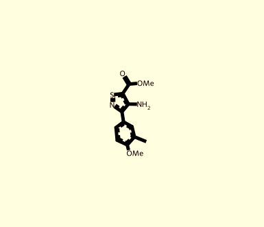 COC(=O)c1snc(-c2ccc(OC)c(C)c2)c1N